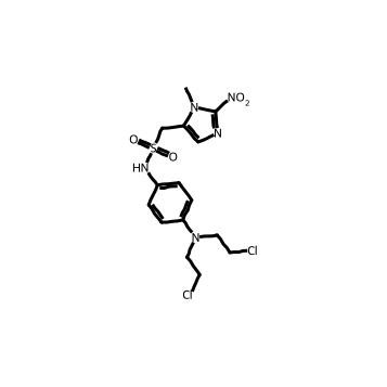 Cn1c(CS(=O)(=O)Nc2ccc(N(CCCl)CCCl)cc2)cnc1[N+](=O)[O-]